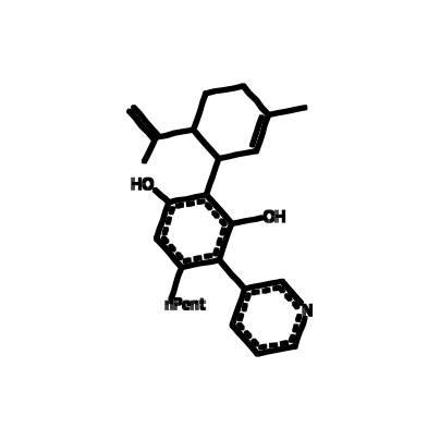 C=C(C)C1CCC(C)=CC1c1c(O)cc(CCCCC)c(-c2cccnc2)c1O